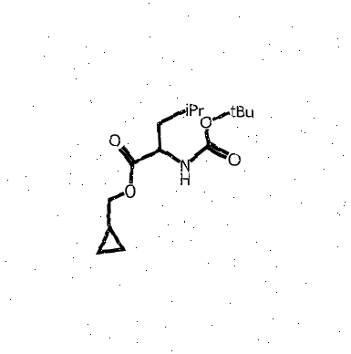 CC(C)CC(NC(=O)OC(C)(C)C)C(=O)OCC1CC1